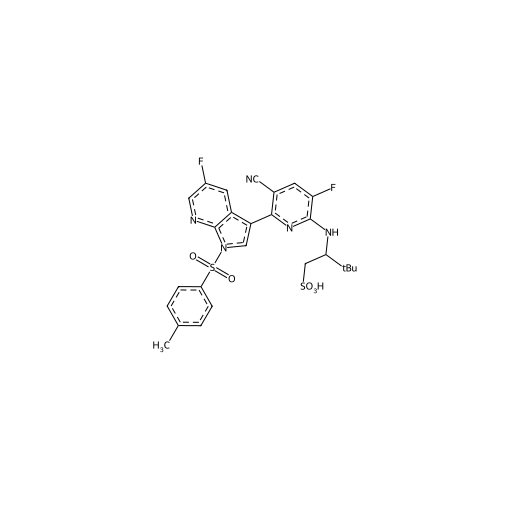 Cc1ccc(S(=O)(=O)n2cc(-c3nc(NC(CS(=O)(=O)O)C(C)(C)C)c(F)cc3C#N)c3cc(F)cnc32)cc1